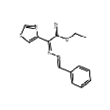 CCOC(=O)/C(=N\N=C\c1ccccc1)c1cscn1